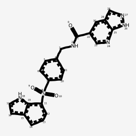 O=C(NCc1ccc(S(=O)(=O)c2cccc3cc[nH]c23)cc1)c1cnc2[nH]ncc2c1